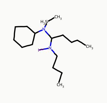 CCCCC(N(I)CCCC)N([SiH2]C)C1CCCCC1